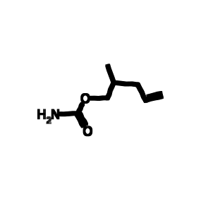 C=CCC(C)COC(N)=O